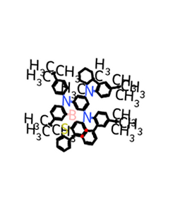 CC(C)(C)c1ccc(N2c3ccc(C(C)(C)C)cc3B3c4c2cc(N2c5ccc(C(C)(C)C)cc5C5(C)CCCCC25C)cc4N(c2ccc(C(C)(C)C)cc2-c2ccccc2)c2ccc4c(sc5ccccc54)c23)cc1